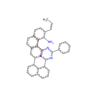 C/C=C\c1cccc(-c2ccc(-c3cccc4cccc(-c5nc(-c6ccccc6)nc(-c6ccccc6)n5)c34)cc2)c1N